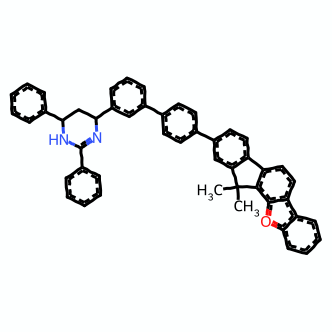 CC1(C)c2cc(-c3ccc(-c4cccc(C5CC(c6ccccc6)NC(c6ccccc6)=N5)c4)cc3)ccc2-c2ccc3c(oc4ccccc43)c21